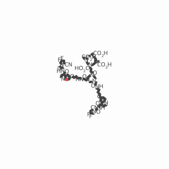 N#C[C@@H]1CC(F)(F)CN1C(=O)CNC(=O)c1ccnc2ccc(OCCCCNC(=O)CN3CCN(CC(=O)NCCCCOc4ccc5nccc(C(=O)NCC(=O)N6CC(F)(F)C[C@H]6C#N)c5c4)CCN(C(=O)CCC(C(=O)O)N4CCN(CC(=O)O)CCN(CC(=O)O)CCN(CC(=O)O)CC4)CC3)cc12